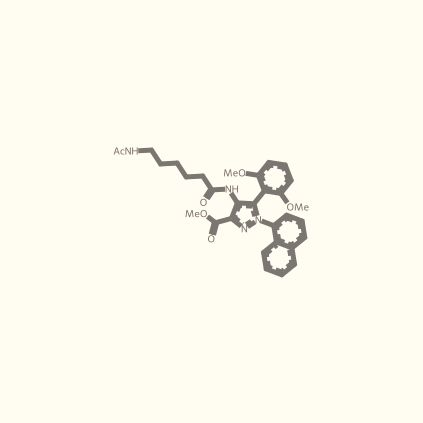 COC(=O)c1nn(-c2cccc3ccccc23)c(-c2c(OC)cccc2OC)c1NC(=O)CCCCCNC(C)=O